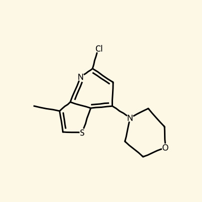 Cc1csc2c(N3CCOCC3)cc(Cl)nc12